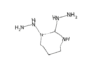 NNC1NCCCN1NN